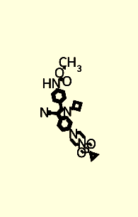 CCOC(=O)Nc1ccc(-c2c(C#N)c3ccc(N4CCN(S(=O)(=O)C5CC5)CC4)cc3n2C2CCC2)cc1